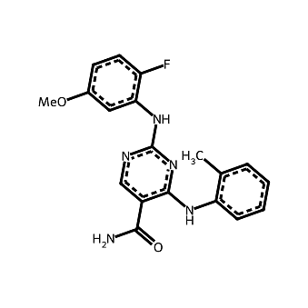 COc1ccc(F)c(Nc2ncc(C(N)=O)c(Nc3ccccc3C)n2)c1